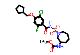 CC(C)(C)OC(=O)NC1CCCCN(S(=O)(=O)NC(=O)c2cc(Cl)c(OCC3CCCC3)cc2F)C1